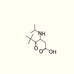 CC(C)NC(CC(=O)O)C(=O)C(C)(C)C